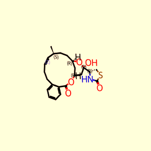 C[C@@H]1/C=C\CCc2ccccc2C(=O)O[C@@H]2C[C@@H](CC1)O[C@@](O)([C@@H]1CSC(=O)N1)C2